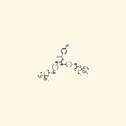 CC(C)(C)OC(=O)NC1CCC(NC(=NC(=O)c2ccc(Cl)cc2)NC2CCC(NC(=O)OC(C)(C)C)CC2)CC1